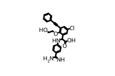 N=C(N)c1ccc(NC(C(=O)O)c2cc(Cl)cc(C#Cc3ccccc3)c2OCCO)cc1